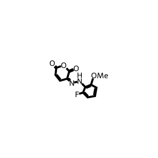 COc1cccc(F)c1N/N=C1/C=CC(=O)OC1=O